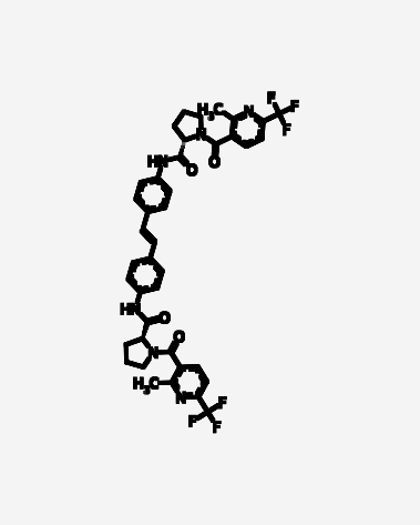 Cc1nc(C(F)(F)F)ccc1C(=O)N1CCC[C@H]1C(=O)Nc1ccc(/C=C/c2ccc(NC(=O)[C@@H]3CCCN3C(=O)c3ccc(C(F)(F)F)nc3C)cc2)cc1